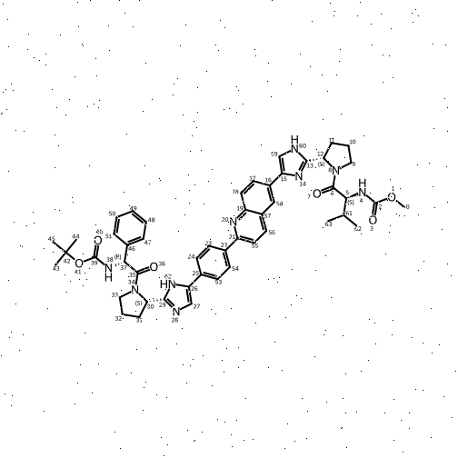 COC(=O)N[C@H](C(=O)N1CCC[C@H]1c1nc(-c2ccc3nc(-c4ccc(-c5cnc([C@@H]6CCCN6C(=O)[C@H](NC(=O)OC(C)(C)C)c6ccccc6)[nH]5)cc4)ccc3c2)c[nH]1)C(C)C